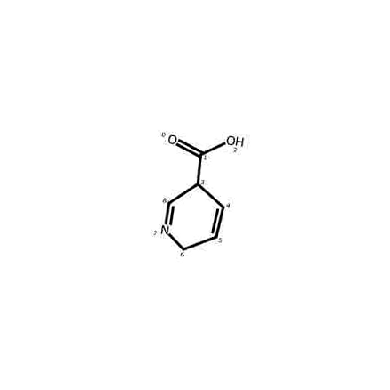 O=C(O)C1C=CCN=C1